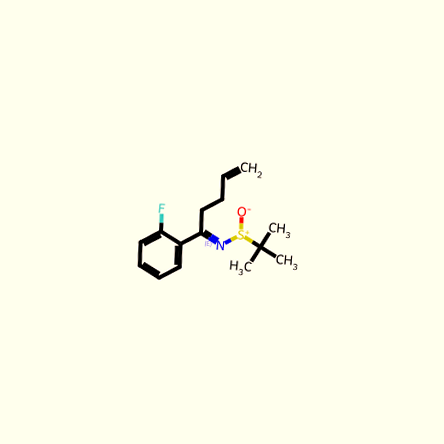 C=CCC/C(=N\[S+]([O-])C(C)(C)C)c1ccccc1F